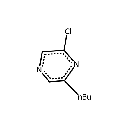 CCCCc1cncc(Cl)n1